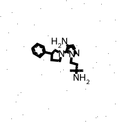 CC(C)(N)CCn1ncc(N)c1N1CCC(c2ccccc2)C1